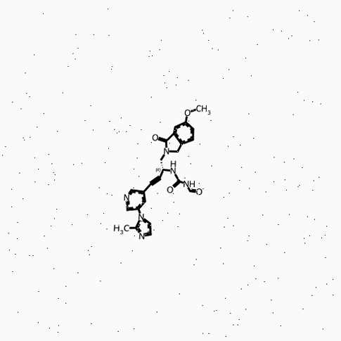 COc1ccc2c(c1)C(=O)N(C[C@@H](C#Cc1cncc(-n3ccnc3C)c1)NC(=O)NC=O)C2